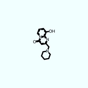 O=c1cc(CN2CCCCC2)nc2c(O)cccn12